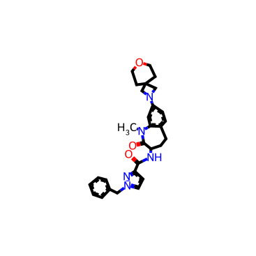 CN1C(=O)C(NC(=O)c2ccn(Cc3ccccc3)n2)CCc2ccc(N3CC4(CCOCC4)C3)cc21